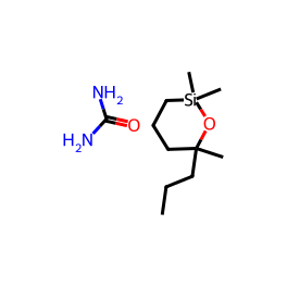 CCCC1(C)CCC[Si](C)(C)O1.NC(N)=O